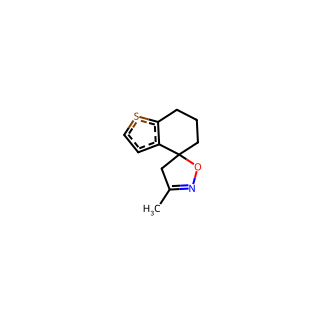 CC1=NOC2(CCCc3sccc32)C1